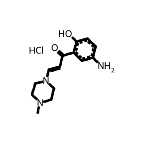 CN1CCN(C=CC(=O)c2cc(N)ccc2O)CC1.Cl